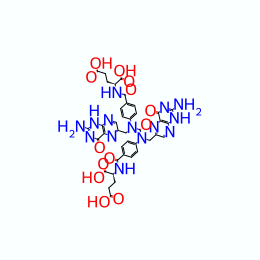 Nc1nc(=O)c2nc(CN(C(=O)N(Cc3cnc4[nH]c(N)nc(=O)c4n3)c3ccc(C(=O)N[C@@H](CCC(=O)O)C(=O)O)cc3)c3ccc(C(=O)N[C@@H](CCC(=O)O)C(=O)O)cc3)cnc2[nH]1